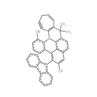 CC1(C)C2=C(C#CCC=C2)N(c2c(C#N)cccc2C2=C(n3c4ccccc4c4ccccc43)C(C#N)=CCC2)c2ccccc21